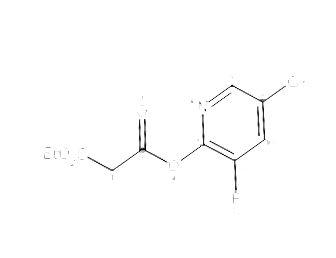 CCOC(=O)CC(=O)Oc1ncc(Cl)cc1F